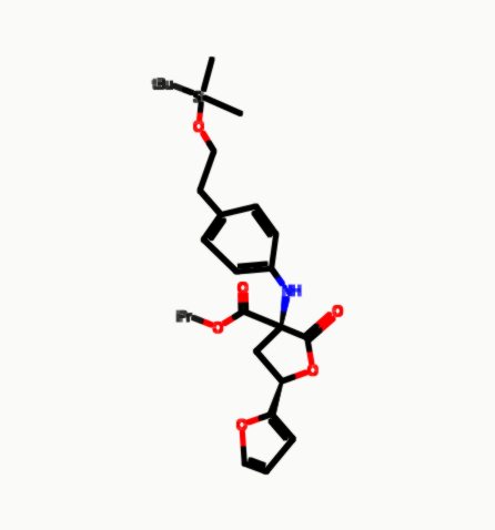 CC(C)OC(=O)[C@@]1(Nc2ccc(CCO[Si](C)(C)C(C)(C)C)cc2)C[C@H](c2ccco2)OC1=O